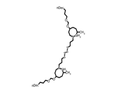 CCCCCCCCCCCCCOCOC1CCC(C)[SiH2]N(CCCSSSSCCCN2CCC(OCOCCCCCCCCCCCCC)CCC(C)[SiH2]2)CC1